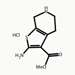 COC(=O)c1c(N)sc2c1CCNC2.Cl